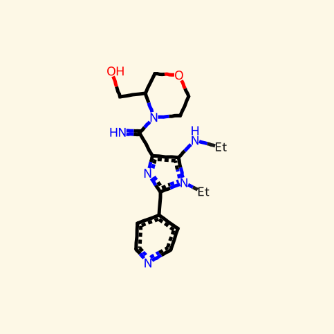 CCNc1c(C(=N)N2CCOCC2CO)nc(-c2ccncc2)n1CC